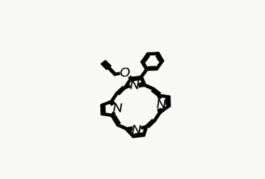 C#CCOC1=C(c2ccccc2)C2=NC1=CC1=NC(=CC3=NC(=CC4=NC(=C2)C=C4)C=C3)C=C1